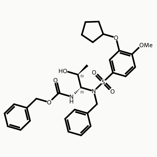 COc1ccc(S(=O)(=O)N(Cc2ccccc2)[C@H](NC(=O)OCc2ccccc2)[C@H](C)O)cc1OC1CCCC1